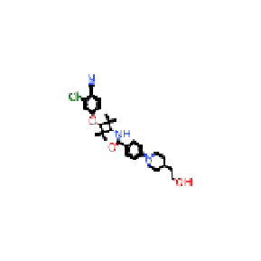 CC1(C)[C@H](NC(=O)c2ccc(N3CCC(CCO)CC3)cc2)C(C)(C)[C@H]1Oc1ccc(C#N)c(Cl)c1